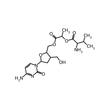 CC(OC(=O)C(N)C(C)C)C(=O)OCC1OC(n2ccc(N)nc2=O)CC1CO